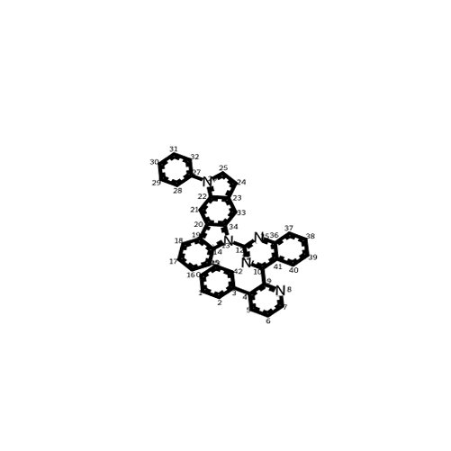 c1ccc(-c2cccnc2-c2nc(-n3c4ccccc4c4cc5c(ccn5-c5ccccc5)cc43)nc3ccccc23)cc1